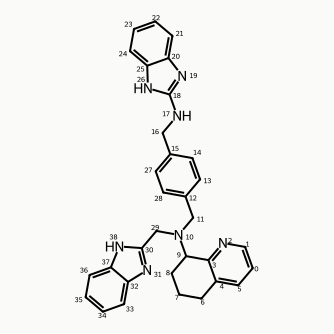 c1cnc2c(c1)CCCC2N(Cc1ccc(CNc2nc3ccccc3[nH]2)cc1)Cc1nc2ccccc2[nH]1